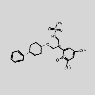 Cc1cc(C)[n+]([O-])c([C@H](CNS(C)(=O)=O)CO[C@H]2CC[C@@H](c3ccccc3)CC2)c1